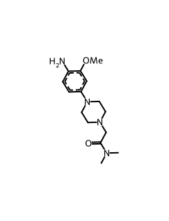 COc1cc(N2CCN(CC(=O)N(C)C)CC2)ccc1N